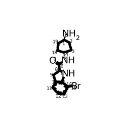 N[C@H]1CC[C@H](NC(=O)C2Cc3cccc(Br)c3N2)CC1